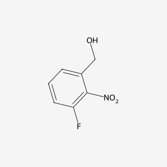 O=[N+]([O-])c1c(F)cccc1CO